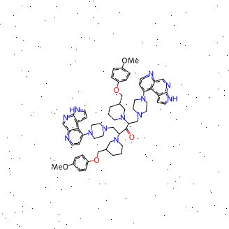 COc1ccc(OCC2CCCN(C(CN3CCN(c4ccnc5cnc6[nH]ccc6c45)CC3)C(=O)C(CN3CCN(c4ccnc5cnc6[nH]ccc6c45)CC3)N3CCCC(COc4ccc(OC)cc4)C3)C2)cc1